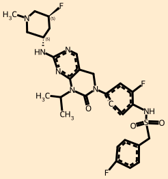 CC(C)N1C(=O)N(c2ccc(NS(=O)(=O)Cc3ccc(F)cc3)c(F)c2)Cc2cnc(N[C@H]3C[C@H](F)CN(C)C3)nc21